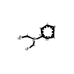 FCP(CF)c1ccccc1